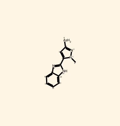 Cn1nc([AsH2])cc1-c1nc2ccccc2[nH]1